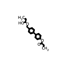 C=CC(=O)Oc1ccc(-c2ccc(COC(O)C=C)cc2)cc1